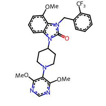 COc1ncnc(OC)c1N1CCC(n2c(=O)n(Cc3ccccc3C(F)(F)F)c3c(OC)cccc32)CC1